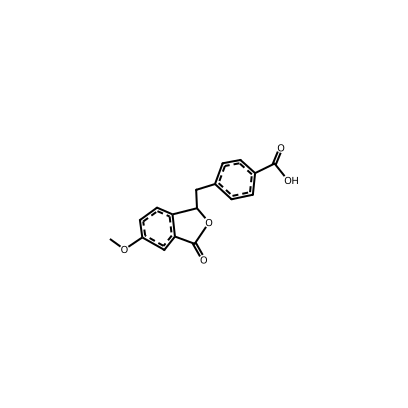 COc1ccc2c(c1)C(=O)OC2Cc1ccc(C(=O)O)cc1